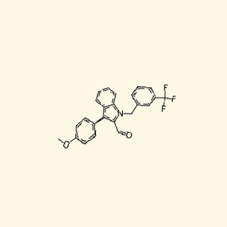 COc1ccc(-c2c(C=O)n(Cc3cccc(C(F)(F)F)c3)c3ccccc23)cc1